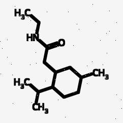 CCNC(=O)CC1CC(C)CCC1C(C)C